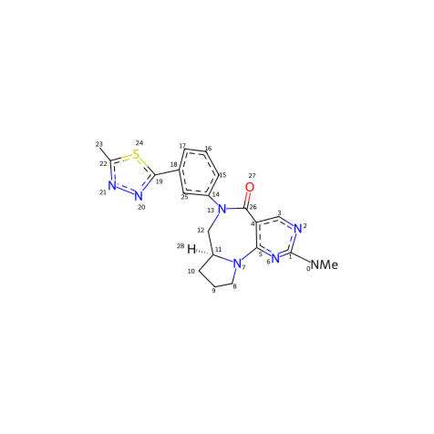 CNc1ncc2c(n1)N1CCC[C@H]1CN(c1cccc(-c3nnc(C)s3)c1)C2=O